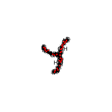 O=C(NC1CCC(=Cc2cccc(Oc3ccc(C(F)(F)F)cn3)c2)CC1)c1cnc2c(ccn2COP(=O)(OCn2ccc3cc(C(=O)NC4CCC(=Cc5cccc(Oc6ccc(C(F)(F)F)cn6)c5)CC4)cnc32)OCn2ccc3cc(C(=O)NC4CCC(=Cc5cccc(Oc6ccc(C(F)(F)F)cn6)c5)CC4)cnc32)c1